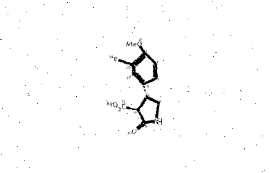 COc1ccc([C@@H]2CNC(=O)[C@H]2C(=O)O)cc1F